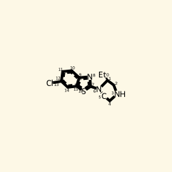 CC[C@H]1CNCCN1c1nc2ccc(Cl)cc2s1